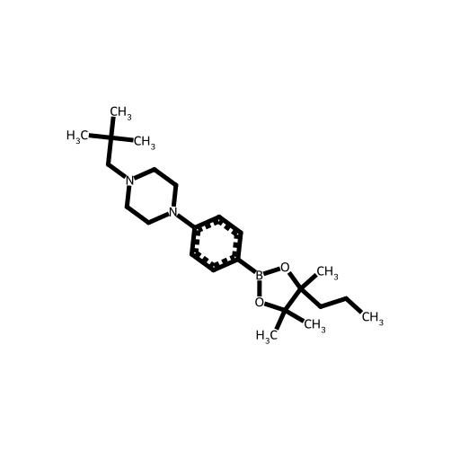 CCCC1(C)OB(c2ccc(N3CCN(CC(C)(C)C)CC3)cc2)OC1(C)C